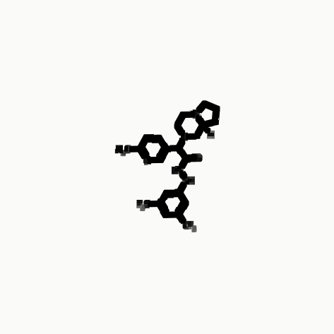 Cc1ccc(C(C(=O)NNc2cc(C(F)(F)F)cc(C(F)(F)F)c2)N2CCN3CCC[C@@H]3C2)cn1